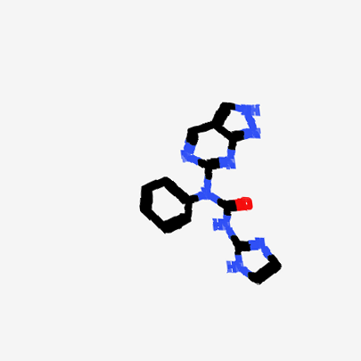 O=C(Nc1ncc[nH]1)N(c1ccccc1)c1ncc2c[nH]nc2n1